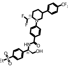 CCS(=O)(=O)c1ccc([C@H](CO)NC(=O)c2ccc(N3CC(c4ccc(C(F)(F)F)cc4)CC[C@H]3C(F)F)cc2)cc1